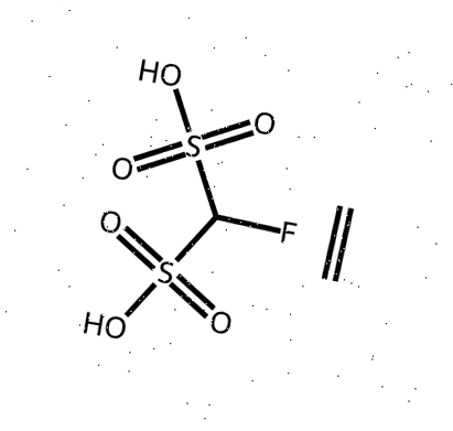 C=C.O=S(=O)(O)C(F)S(=O)(=O)O